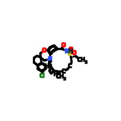 C=C1CCCC[C@@H](CC)S(=O)(=O)NC(=O)c2ccc3c(c2)N(C[C@@H]2CC[C@@H]12)C[C@@]1(CCCc2cc(Cl)ccc21)CO3